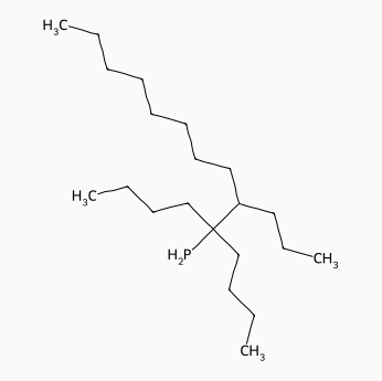 CCCCCCCCC(CCC)C(P)(CCCC)CCCC